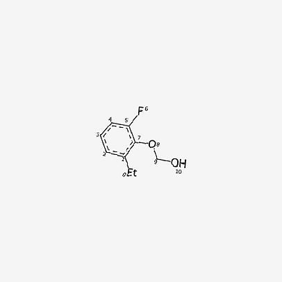 CCc1cccc(F)c1OCO